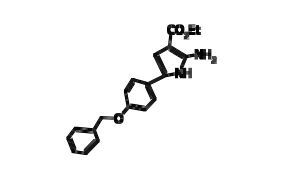 CCOC(=O)c1cc(-c2ccc(OCc3ccccc3)cc2)[nH]c1N